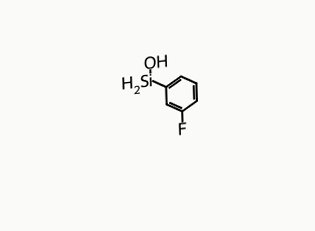 O[SiH2]c1cccc(F)c1